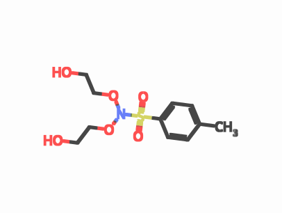 Cc1ccc(S(=O)(=O)N(OCCO)OCCO)cc1